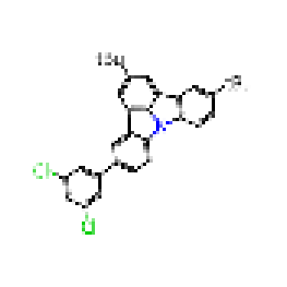 CC(C)(C)c1ccc2c(c1)c1cc(C(C)(C)C)cc3c4cc(-c5cc(Cl)cc(Cl)c5)ccc4n2c31